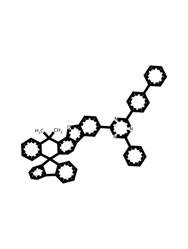 CC1(C)c2ccccc2C2(c3ccccc3-c3ccccc32)c2ccc3c(oc4ccc(-c5nc(-c6ccccc6)nc(-c6ccc(-c7ccccc7)cc6)n5)cc43)c21